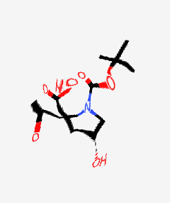 CC(=O)[C@]1(C(=O)O)C[C@@H](O)CN1C(=O)OC(C)(C)C